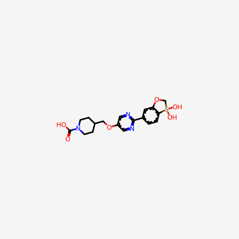 O=C(O)N1CCC(COc2cnc(-c3ccc4c(c3)OCS4(O)O)nc2)CC1